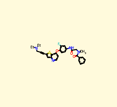 CCN(CC)CC#Cc1cc2nccc(Oc3ccc(NC(=O)CN(C)C(=O)c4ccccc4)cc3F)c2s1